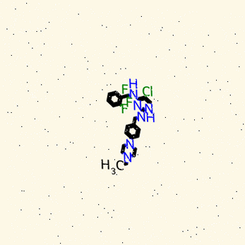 CCN1CCN(c2ccc(CNc3ncc(Cl)c(NC(F)(F)c4ccccc4F)n3)cc2)CC1